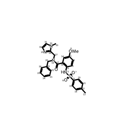 COc1ccc(NS(=O)(=O)c2ccc(C)cc2)c(C(=O)N(Cc2ccccc2)Cc2nccn2C)c1